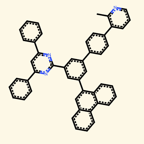 Cc1ncccc1-c1ccc(-c2cc(-c3nc(-c4ccccc4)cc(-c4ccccc4)n3)cc(-c3cc4ccccc4c4ccccc34)c2)cc1